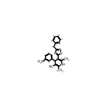 CC1=C(C#N)C(c2cccc([N+](=O)[O-])c2)C(c2nc(Cc3ccccc3)no2)=C(C)N1